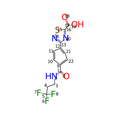 O=C(NCCC(F)(F)F)c1ccc(-c2nsc(C(=O)O)n2)cc1